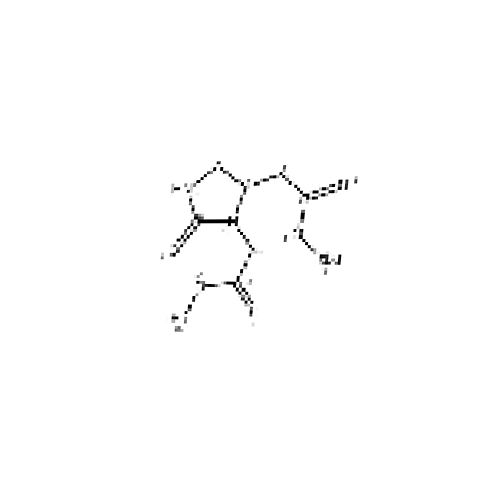 CC(C)(C)OC(=O)CC1CNC(=O)N1CC(=O)OC(C)(C)C